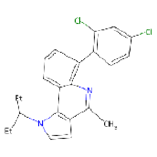 [CH2]CC(CC)n1ccc2c(C)nc3c(-c4ccc(Cl)cc4Cl)cccc3c21